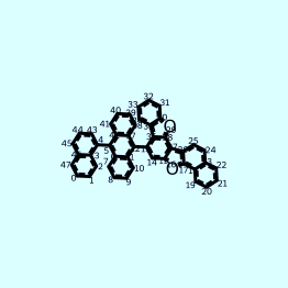 c1ccc2c(-c3c4ccccc4c(-c4cc5oc6c7ccccc7ccc6c5c5oc6ccccc6c45)c4ccccc34)cccc2c1